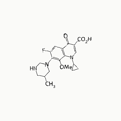 COc1c(N2CNCC(C)C2)c(F)cc2c(=O)c(C(=O)O)cn(C3CC3)c12